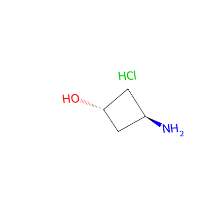 Cl.N[C@H]1C[C@H](O)C1